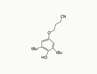 CC(C)(C)c1cc(OCCCC#N)cc(C(C)(C)C)c1O